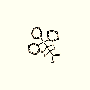 O=C(O)C(Br)(Br)C(Br)(Br)[P](c1ccccc1)(c1ccccc1)c1ccccc1